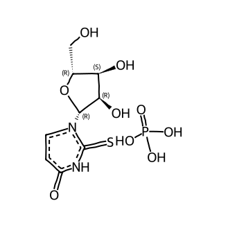 O=P(O)(O)O.O=c1ccn([C@@H]2O[C@H](CO)[C@@H](O)[C@H]2O)c(=S)[nH]1